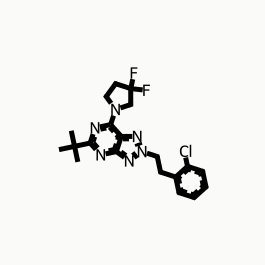 CC(C)(C)c1nc(N2CCC(F)(F)C2)c2nn(CCc3ccccc3Cl)nc2n1